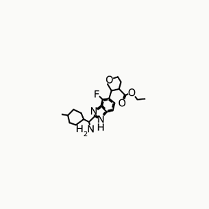 CCOC(=O)C1CCOCC1c1ccc2[nH]c(C(N)C3CCC(C)CC3)nc2c1F